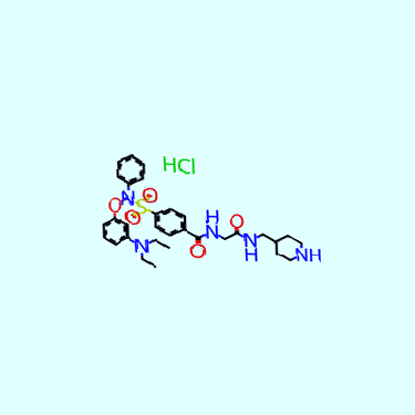 CCN(CC)c1cccc(ON(c2ccccc2)S(=O)(=O)c2ccc(C(=O)NCC(=O)NCC3CCNCC3)cc2)c1.Cl